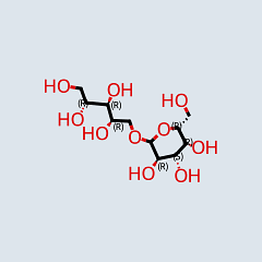 OC[C@@H](O)[C@@H](O)[C@H](O)COC1O[C@H](CO)[C@H](O)[C@H](O)[C@H]1O